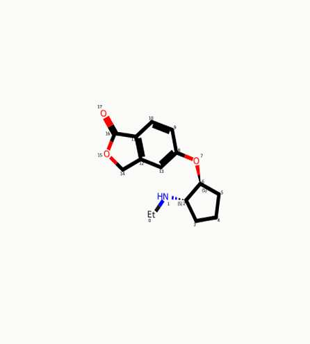 CCN[C@H]1CCC[C@@H]1Oc1ccc2c(c1)COC2=O